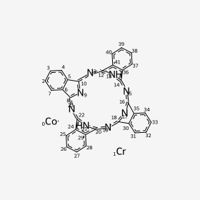 [Co].[Cr].c1ccc2c(c1)-c1nc-2nc2[nH]c(nc3nc(nc4[nH]c(n1)c1ccccc41)-c1ccccc1-3)c1ccccc21